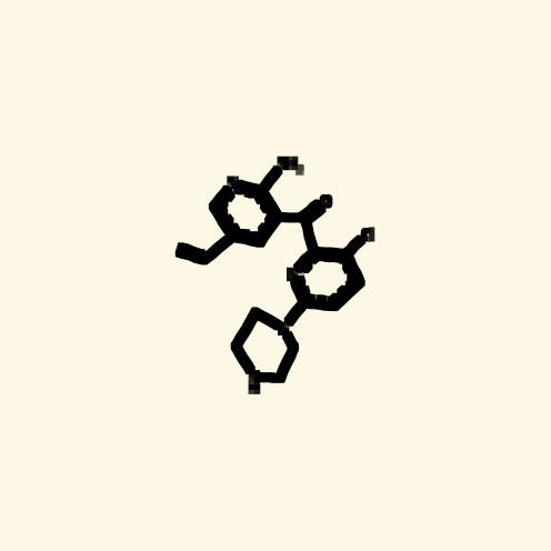 C=Cc1cnc(N)c(C(=O)c2nc(N3CCNCC3)ccc2Cl)c1